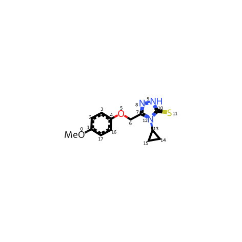 COc1ccc(OCc2n[nH]c(=S)n2C2CC2)cc1